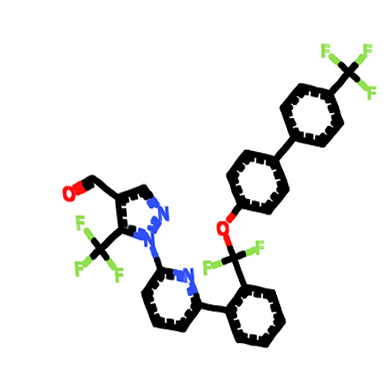 O=Cc1cnn(-c2cccc(-c3ccccc3C(F)(F)Oc3ccc(-c4ccc(C(F)(F)F)cc4)cc3)n2)c1C(F)(F)F